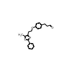 Cc1oc(-c2ccccc2)nc1CCOc1ccc(CCC=O)cc1